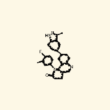 Cc1cc(-n2c(=O)ccc3cnc4ccc(-c5ccc6[nH]nc(C)c6c5)cc4c32)ccc1F